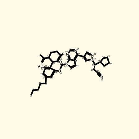 C=C(C)C1CCC(C)=CC1c1c(O)cc(CCCCC)cc1OC(=O)n1ccc2c(-c3cnn([C@H](CC#N)C4CCCC4)c3)ncnc21